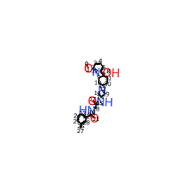 COc1cccc([C@]2(O)CC[C@H](N3CC(NC(=O)CNC(=O)c4cccc(C)c4)C3)CC2)n1